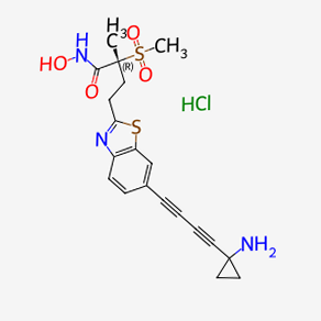 C[C@@](CCc1nc2ccc(C#CC#CC3(N)CC3)cc2s1)(C(=O)NO)S(C)(=O)=O.Cl